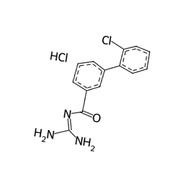 Cl.NC(N)=NC(=O)c1cccc(-c2ccccc2Cl)c1